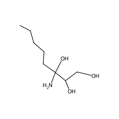 CCCCCC(N)(O)C(O)CO